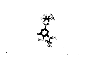 COc1c(F)cc(B2OC(C)(C)C(C)(C)O2)cc1N(C)S(C)(=O)=O